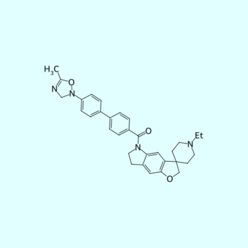 CCN1CCC2(CC1)COc1cc3c(cc12)N(C(=O)c1ccc(-c2ccc(N4CN=C(C)O4)cc2)cc1)CC3